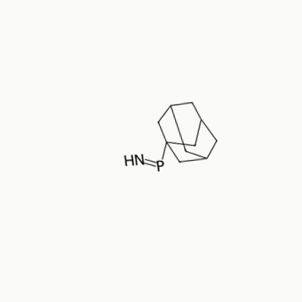 N=PC12CC3CC(CC(C3)C1)C2